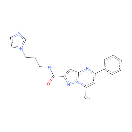 O=C(NCCCn1ccnc1)c1cc2nc(-c3ccccc3)cc(C(F)(F)F)n2n1